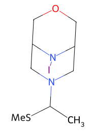 CSC(C)N1CC2COCC(C1)N2I